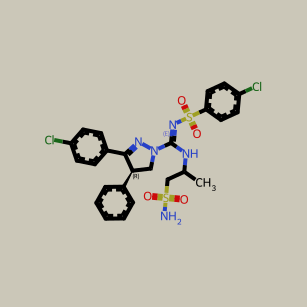 CC(CS(N)(=O)=O)N/C(=N\S(=O)(=O)c1ccc(Cl)cc1)N1C[C@@H](c2ccccc2)C(c2ccc(Cl)cc2)=N1